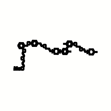 COCCCOCCOc1ccccc1COc1ccc(CCOCCCN2CCN(c3ccc(C)c(-c4cc(OCCOCCN5CCC(C)CC5)ccc4C)c3)CC2)cc1